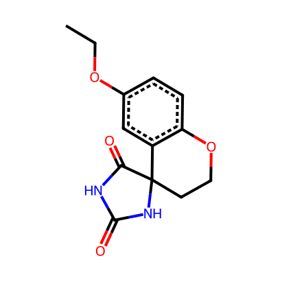 CCOc1ccc2c(c1)C1(CCO2)NC(=O)NC1=O